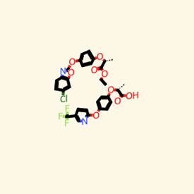 CCOC(=O)[C@@H](C)Oc1ccc(Oc2nc3ccc(Cl)cc3o2)cc1.C[C@@H](Oc1ccc(Oc2ccc(C(F)(F)F)cn2)cc1)C(=O)O